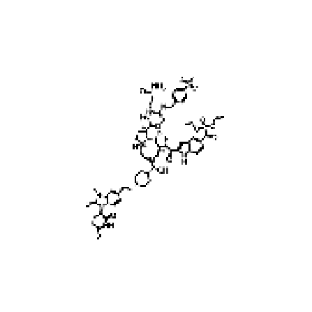 CCOP(=O)(OCC)C(=O)c1ccc2[nH]c(C(=O)N[C@H]3CN(C(O)[C@H]4CC[C@@H](CCc5ccc6c(c5)n(C)c(=O)n6C5CCC(=O)NC5=O)CC4)CC[C@H]4CC[C@@H](C(=O)N[C@@H](CCC(N)=O)C(=O)NCc5ccc(S(C)(=O)=O)cc5)N4C3=O)cc2c1